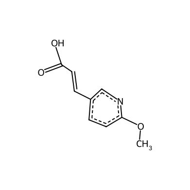 COc1ccc(C=CC(=O)O)cn1